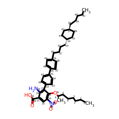 CCCCCC[C@@H](C)Oc1c([N+](=O)[O-])cc(C(=O)O)c(N)c1-c1ccc(-c2ccc(CCCC[C@H]3CC[C@H](CCCCC)CC3)cc2)cc1